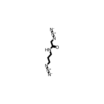 [N-]=[N+]=NCCCNC(=O)CN=[N+]=[N-]